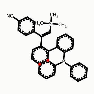 C[Si](C)(C)/C=C(\c1ccc(C#N)cc1)c1ccccc1-c1ccccc1P(c1ccccc1)c1ccccc1